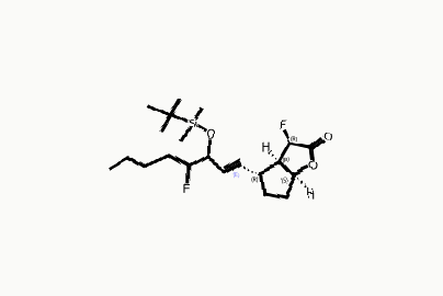 CCCCC(F)C(/C=C/[C@H]1CC[C@@H]2OC(=O)[C@H](F)[C@@H]21)O[Si](C)(C)C(C)(C)C